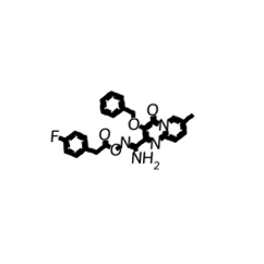 Cc1ccc2nc(/C(N)=N/OC(=O)Cc3ccc(F)cc3)c(OCc3ccccc3)c(=O)n2c1